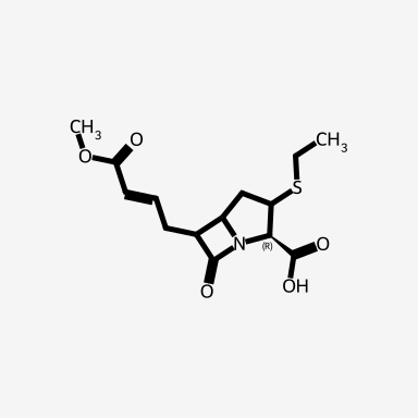 CCSC1CC2C(CC=CC(=O)OC)C(=O)N2[C@@H]1C(=O)O